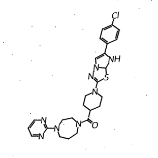 O=C(C1CCN(C2=NN3C=C(c4ccc(Cl)cc4)NC3S2)CC1)N1CCCN(c2ncccn2)CC1